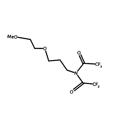 COCCOCCCN(C(=O)C(F)(F)F)C(=O)C(F)(F)F